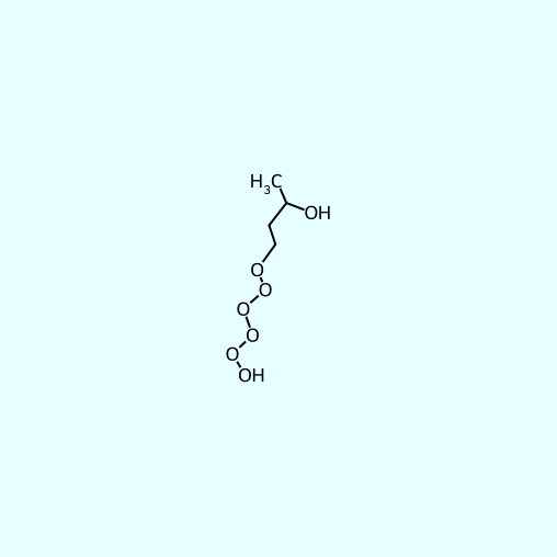 CC(O)CCOOOOOO